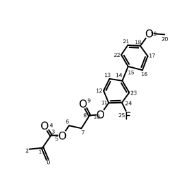 C=C(C)C(=O)OCCC(=O)Oc1ccc(-c2ccc(OC)cc2)cc1F